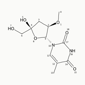 CO[C@@H]1C[C@@](O)(CO)O[C@H]1n1cc(C)c(=O)[nH]c1=O